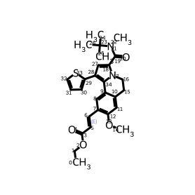 CCOC(=O)/C=C/c1cc2c(cc1OC)CCn1c(C(=O)N(C)C(C)(C)C)cc(-c3cccs3)c1-2